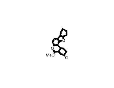 COC(=O)c1cc(Cl)ccc1-c1cccc2c1oc1ccccc12